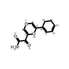 NC(=O)C(=O)C1=COC=C(C2=CC=CCC2)O1